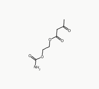 CC(=O)CC(=O)OCCOC(N)=O